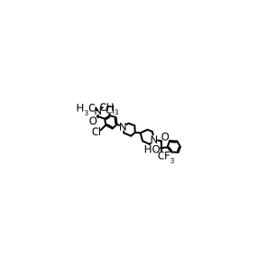 CN(C)C(=O)c1c(Cl)cc(N2CCC(C3CCN(C(=O)C(O)(c4ccccc4)C(F)(F)F)CC3)CC2)cc1Cl